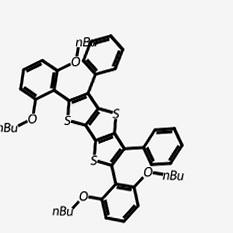 CCCCOc1cccc(OCCCC)c1-c1sc2c(sc3c(-c4ccccc4)c(-c4c(OCCCC)cccc4OCCCC)sc32)c1-c1ccccc1